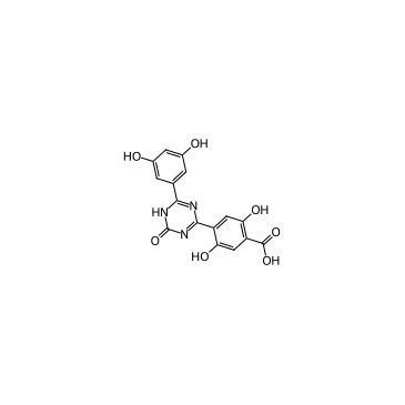 O=C(O)c1cc(O)c(-c2nc(-c3cc(O)cc(O)c3)[nH]c(=O)n2)cc1O